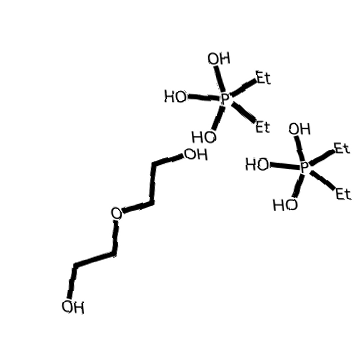 CCP(O)(O)(O)CC.CCP(O)(O)(O)CC.OCCOCCO